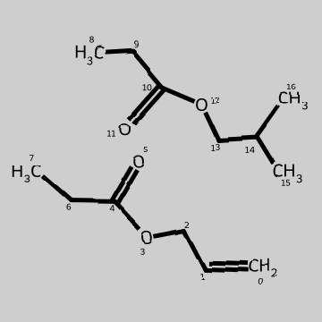 C=CCOC(=O)CC.CCC(=O)OCC(C)C